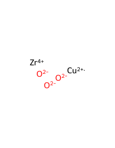 [Cu+2].[O-2].[O-2].[O-2].[Zr+4]